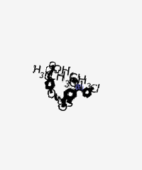 CO/N=C(/c1cccc(Cl)c1)c1ccc2c(c1)sc(=O)n2CCOc1ccc(OC(C)(C)C(=O)O)cc1